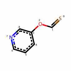 S=COc1cccnc1